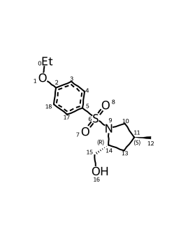 CCOc1ccc(S(=O)(=O)N2C[C@@H](C)C[C@@H]2CO)cc1